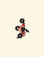 C=CC[C@@H]1[C@@H](COCc2ccccc2)[C@H](OC2CCCCO2)C[C@@H]1OS(=O)(=O)c1ccc(C)cc1